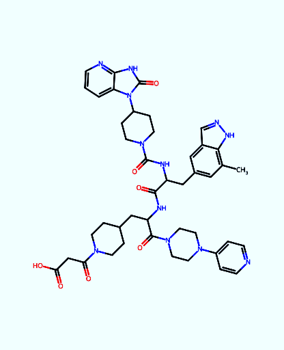 Cc1cc(CC(NC(=O)N2CCC(n3c(=O)[nH]c4ncccc43)CC2)C(=O)NC(CC2CCN(C(=O)CC(=O)O)CC2)C(=O)N2CCN(c3ccncc3)CC2)cc2cn[nH]c12